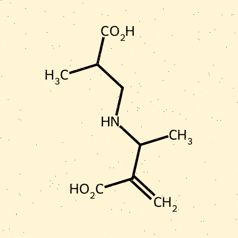 C=C(C(=O)O)C(C)NCC(C)C(=O)O